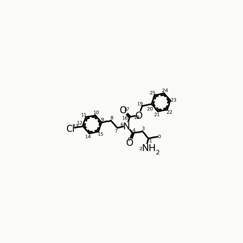 CC(N)CC(=O)N(CCc1ccc(Cl)cc1)C(=O)OCc1ccccc1